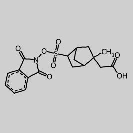 CC1(CC(=O)O)CC2CC1CC2S(=O)(=O)ON1C(=O)c2ccccc2C1=O